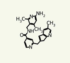 Cc1cnc2c(c1)C=C(Cc1cc(C(=O)NCc3c(C)cc(N)nc3C)ccn1)C2